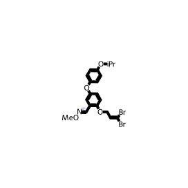 CO/N=C/c1cc(Oc2ccc(OC(C)C)cc2)ccc1OCC=C(Br)Br